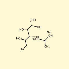 CC(O)C(=O)[O-].O=C[C@H](O)[C@@H](O)[C@H](O)[C@H](O)CO.[Na+]